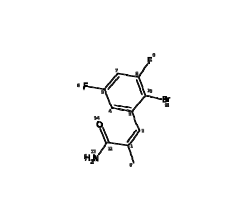 CC(=Cc1cc(F)cc(F)c1Br)C(N)=O